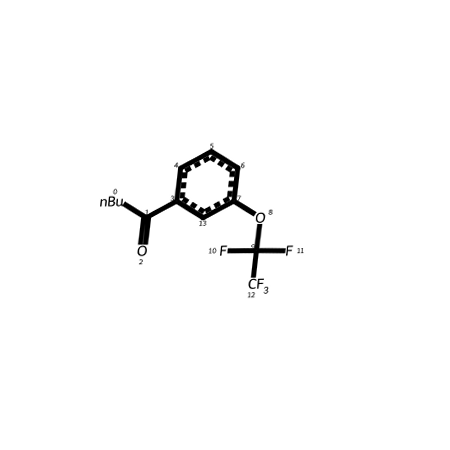 [CH2]CCCC(=O)c1cccc(OC(F)(F)C(F)(F)F)c1